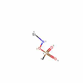 CC[N]OS(C)(=O)=O